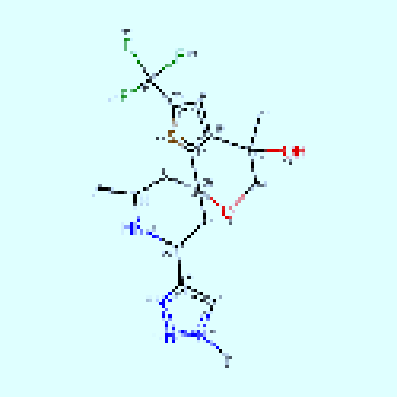 C[C@H]1C[C@@]2(C[C@@H](c3cn(C)nn3)N1)OCC(C)(O)c1cc(C(F)(F)F)sc12